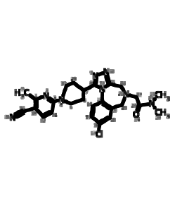 Cc1nc(N2CCC(c3nnc4n3-c3ccc(Cl)cc3CN(CC(=O)N(C)C)C4)CC2)ccc1C#N